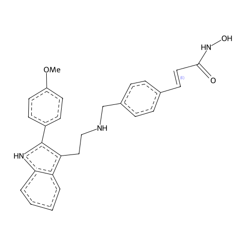 COc1ccc(-c2[nH]c3ccccc3c2CCNCc2ccc(/C=C/C(=O)NO)cc2)cc1